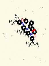 CC(C)c1ccc2c(c1)Oc1ccccc1N2c1ccc2c(c1)N(c1cc3ccccc3c3ccccc13)c1cc(N3c4ccccc4Oc4cc(C(C)C)ccc43)ccc1C2(C)C